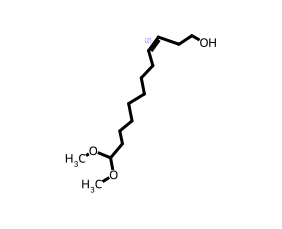 COC(CCCCCCC/C=C\CCO)OC